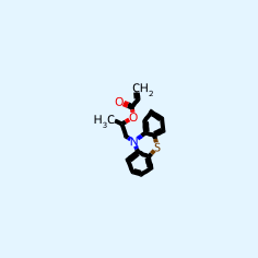 C=CC(=O)OC(C)CN1c2ccccc2Sc2ccccc21